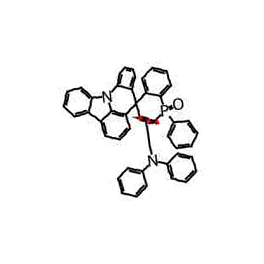 O=P1(c2ccccc2)c2ccccc2C2(c3ccccc3-n3c4ccccc4c4cccc2c43)c2ccc(N(c3ccccc3)c3ccccc3)cc21